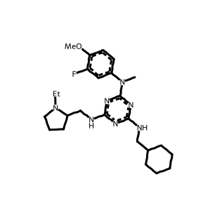 CCN1CCCC1CNc1nc(NCC2CCCCC2)nc(N(C)c2ccc(OC)c(F)c2)n1